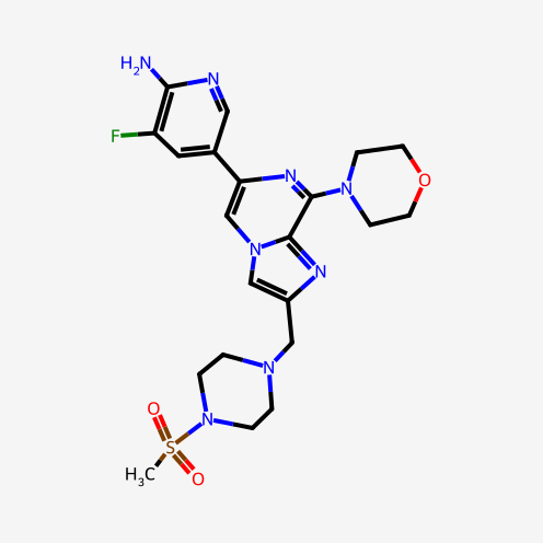 CS(=O)(=O)N1CCN(Cc2cn3cc(-c4cnc(N)c(F)c4)nc(N4CCOCC4)c3n2)CC1